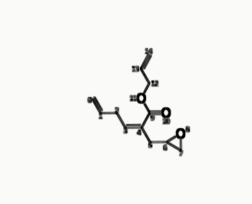 C=CCC=C(CC1CO1)C(=O)OCC=C